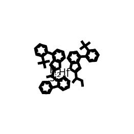 CCC(C)C1=Cc2c(-c3ccccc3C(C)(C)C)cccc2[CH]1[Hf]([c]1cccc2c1[SiH2]c1ccccc1-2)[CH]1C(C(C)CC)=Cc2c(-c3ccccc3C(C)(C)C)cccc21